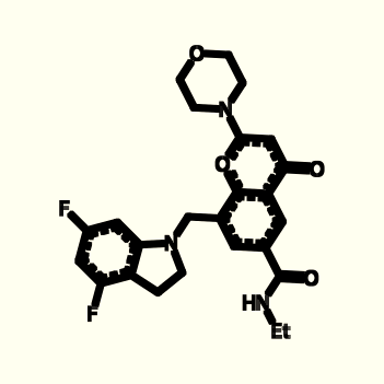 CCNC(=O)c1cc(CN2CCc3c(F)cc(F)cc32)c2oc(N3CCOCC3)cc(=O)c2c1